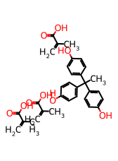 C=C(C)C(=O)O.C=C(C)C(=O)O.C=C(C)C(=O)O.CC(c1ccc(O)cc1)(c1ccc(O)cc1)c1ccc(O)cc1